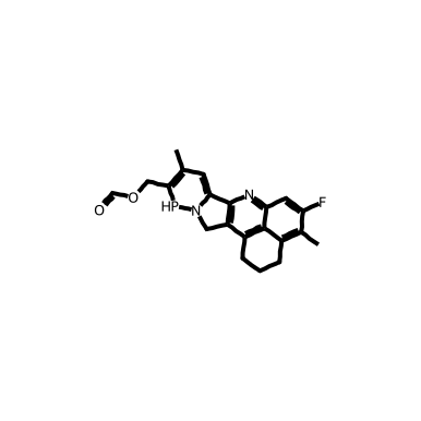 CC1=C(COC=O)PN2Cc3c(nc4cc(F)c(C)c5c4c3CCC5)C2=C1